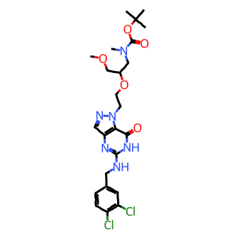 COCC(CN(C)C(=O)OC(C)(C)C)OCCn1ncc2nc(NCc3ccc(Cl)c(Cl)c3)[nH]c(=O)c21